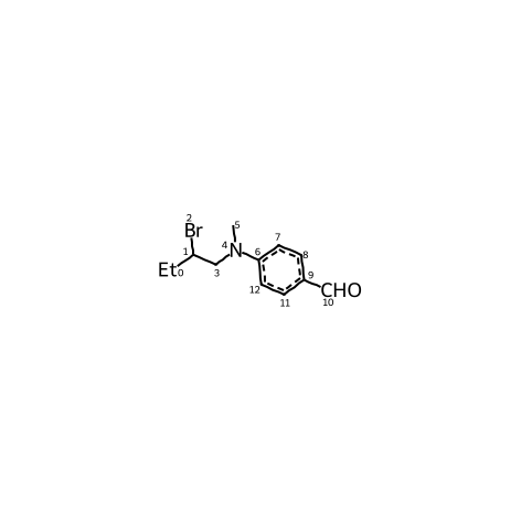 CCC(Br)CN(C)c1ccc(C=O)cc1